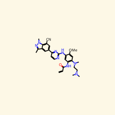 C=CC(=O)Nc1cc(Nc2nccc(-c3cc(C#N)c4c(c3)c(C)nn4C)n2)c(OC)cc1N(C)CCN(C)C